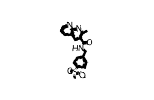 Cc1nc2ncccc2cc1C(=O)NCc1ccc(S(C)(=O)=O)cc1